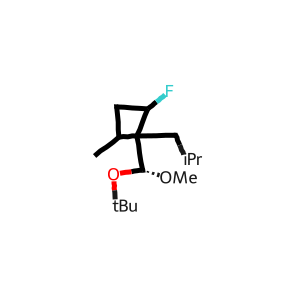 CO[C@H](OC(C)(C)C)C1(CC(C)C)C(C)CC1F